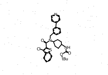 CC(C)(C)OC(=O)NC1CCC(N(Cc2cccc(-c3ccncc3)c2)C(=O)c2sc3ccccc3c2Cl)CC1